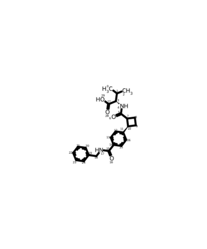 CC(C)[C@H](NC(=O)C1CC[C@H]1c1ccc(C(=O)NCc2ccccc2)cc1)C(=O)O